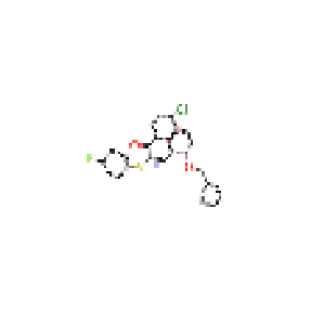 O=C(/C(=C\c1ccccc1OCc1ccccc1)Sc1ccc(F)cc1)c1ccc(Cl)cc1